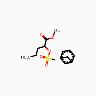 CC(C)(C)OC(=O)C(CCC(=O)O)OS(C)(=O)=O.c1cc2cc(c1)C2